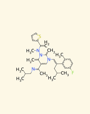 C=C(c1cccs1)N(C)N1C(=C)C(/C(C)=N/CC(C)C)=CN(/C=C(\CC(C)C)c2cc(F)ccc2C)C1=C